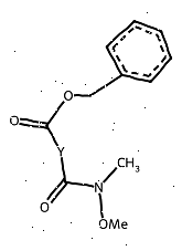 CON(C)[C](=O)[Y][C](=O)OCc1ccccc1